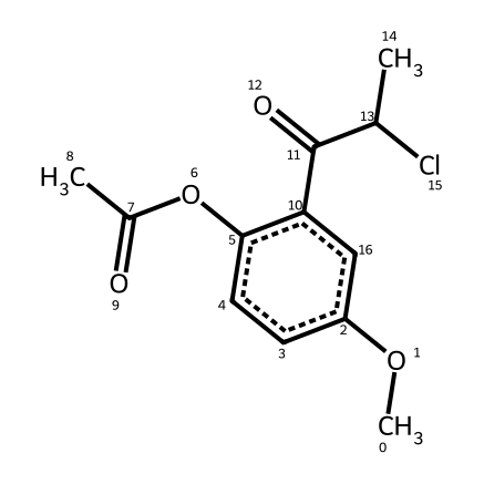 COc1ccc(OC(C)=O)c(C(=O)C(C)Cl)c1